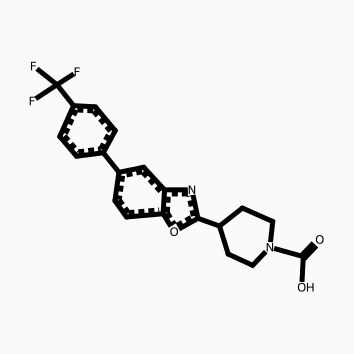 O=C(O)N1CCC(c2nc3cc(-c4ccc(C(F)(F)F)cc4)ccc3o2)CC1